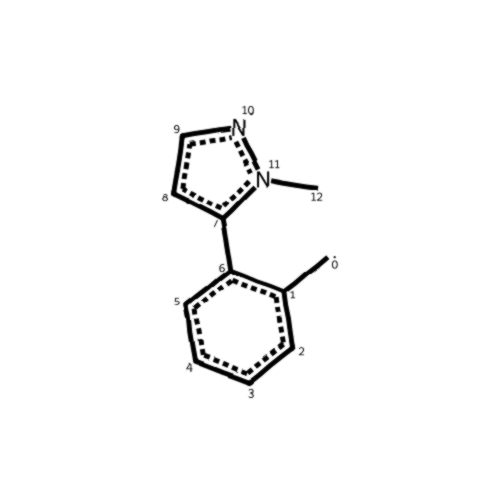 [CH2]c1ccccc1-c1ccnn1C